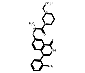 Cc1ccccc1-c1c[nH]c(=O)c2cc(O[C@H](C)C(=O)N3CCC[C@H](CC(=O)O)C3)ccc12